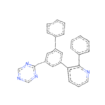 c1ccc(-c2cc(-c3ncncn3)cc(-c3cccnc3-c3ccccc3)c2)cc1